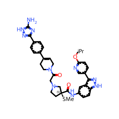 CS[C@@]1(C(=O)Nc2ccc3[nH]nc(-c4ccc(OC(C)C)nc4)c3c2)CCN(CC(=O)N2CC=C(c3ccc(-c4n[nH]c(N)n4)cc3)CC2)C1